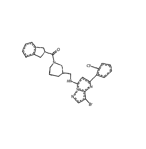 O=C(C1Cc2ccccc2C1)N1CCCC(CNc2cc(-c3ccccc3Cl)nc3c(Br)cnn23)C1